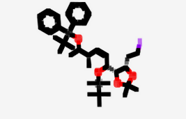 CC(O[Si](c1ccccc1)(c1ccccc1)C(C)(C)C)[C@H](C)/C=C\C(O[Si](C)(C)C(C)(C)C)[C@H]1OC(C)(C)O[C@H]1CCI